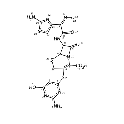 Nc1nc(O)cc(SC2=C(C(=O)O)N3C(=O)C(NC(=O)/C(=N\O)c4csc(N)n4)C3SC2)n1